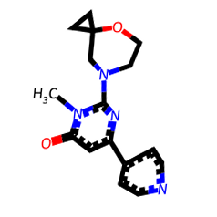 Cn1c(N2CCOC3(CC3)C2)nc(-c2ccncc2)cc1=O